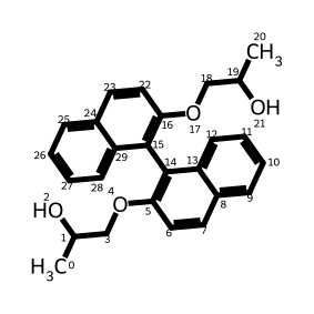 CC(O)COc1ccc2ccccc2c1-c1c(OCC(C)O)ccc2ccccc12